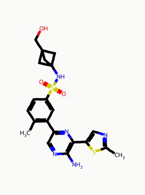 Cc1ncc(-c2nc(-c3cc(S(=O)(=O)NC45CC(CO)(C4)C5)ccc3C)cnc2N)s1